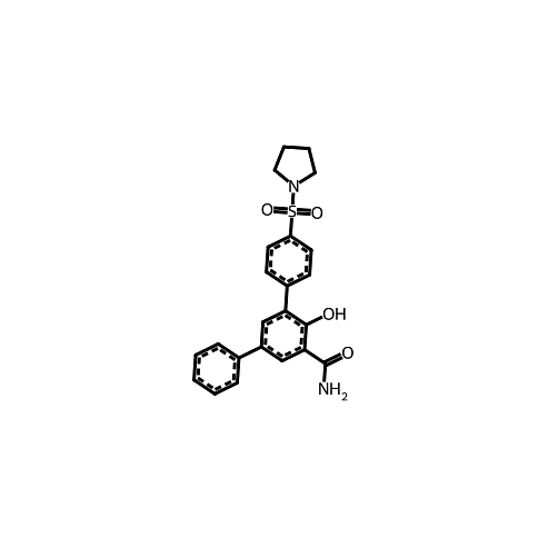 NC(=O)c1cc(-c2ccccc2)cc(-c2ccc(S(=O)(=O)N3CCCC3)cc2)c1O